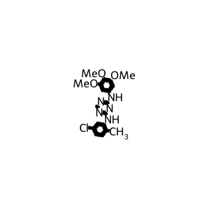 COc1cc(Nc2ncnc(Nc3cc(Cl)ccc3C)n2)cc(OC)c1OC